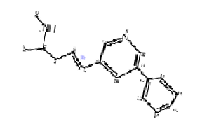 CNC(C)C/C=C/c1cncc(-c2ccccc2)c1